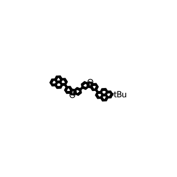 CC(C)(C)c1cc2ccc3ccc(-c4ccc5oc6ccc(-c7ccc8oc9ccc(-c%10ccc%11ccc%12cccc%13ccc%10c%11c%12%13)cc9c8c7)cc6c5c4)c4ccc(c1)c2c34